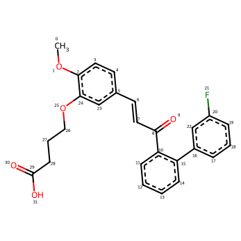 COc1ccc(/C=C/C(=O)c2ccccc2-c2cccc(F)c2)cc1OCCCC(=O)O